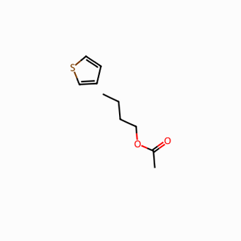 CCCCOC(C)=O.c1ccsc1